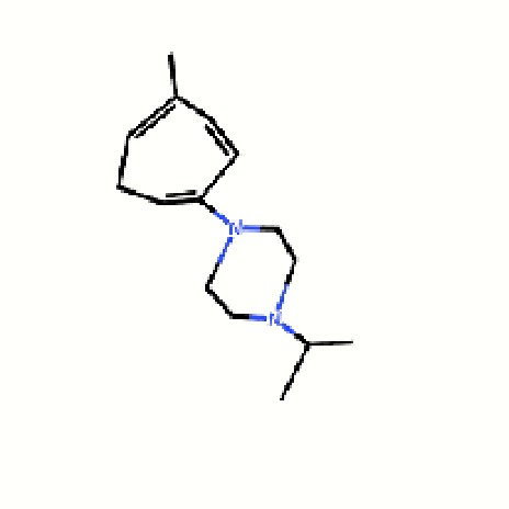 CC1=CCC=C(N2CCN(C(C)C)CC2)C=C1